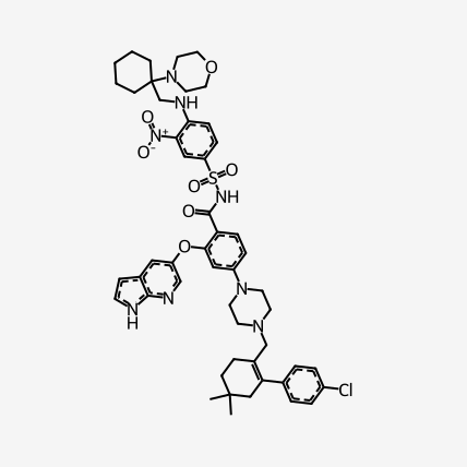 CC1(C)CCC(CN2CCN(c3ccc(C(=O)NS(=O)(=O)c4ccc(NCC5(N6CCOCC6)CCCCC5)c([N+](=O)[O-])c4)c(Oc4cnc5[nH]ccc5c4)c3)CC2)=C(c2ccc(Cl)cc2)C1